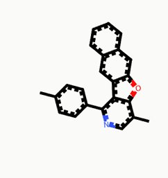 Cc1ccc(-c2ncc(C)c3oc4cc5ccccc5cc4c23)cc1